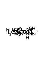 Cn1cc(Br)nc(Nc2ccc(C3CCCN(C(=O)OC(C)(C)C)C3)c(N)c2)c1=O